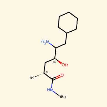 CCCCNC(=O)[C@@H](C[C@H](O)C(N)CC1CCCCC1)C(C)C